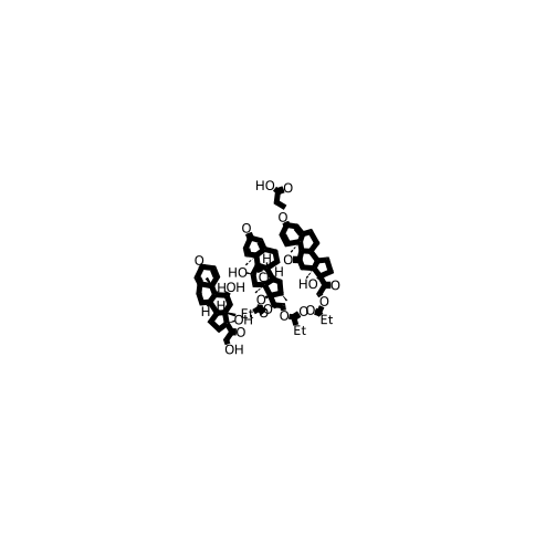 CCC(=O)O.CCC(=O)OCC(=O)[C@@]1(O)CCC2C3CCC4=CC(=O)C=C[C@]4(C)C3C(=O)C[C@@]21C.CCC(=O)OCC(=O)[C@@]1(OC(=O)CC)[C@@H](C)C[C@H]2[C@@H]3CCC4=CC(=O)C=C[C@]4(C)C3(Cl)[C@@H](O)C[C@@]21C.C[C@]12C=CC(=O)C=C1CC[C@@H]1[C@@H]2C(O)C[C@@]2(C)[C@H]1CC[C@]2(O)C(=O)CO